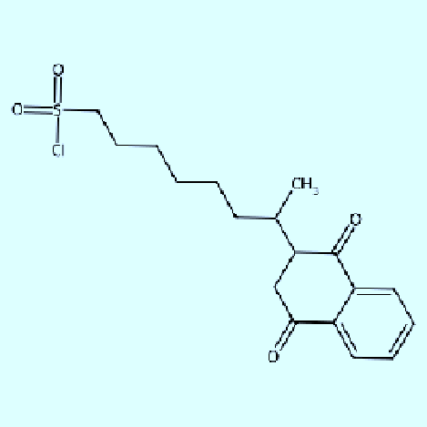 CC(CCCCCCS(=O)(=O)Cl)C1CC(=O)c2ccccc2C1=O